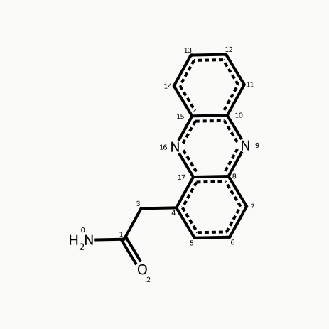 NC(=O)Cc1cccc2nc3ccccc3nc12